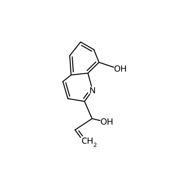 C=CC(O)c1ccc2cccc(O)c2n1